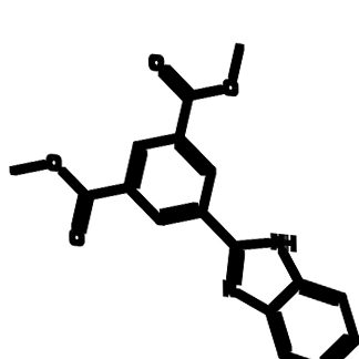 COC(=O)c1cc(C(=O)OC)cc(-c2nc3ccccc3[nH]2)c1